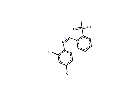 CS(=O)(=O)c1ccccc1/C=N\c1ccc(Cl)cc1Cl